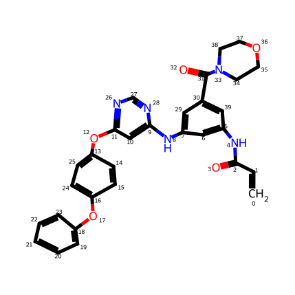 C=CC(=O)Nc1cc(Nc2cc(Oc3ccc(Oc4ccccc4)cc3)ncn2)cc(C(=O)N2CCOCC2)c1